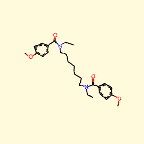 CCN(CCCCCCCN(CC)C(=O)c1ccc(OC)cc1)C(=O)c1ccc(OC)cc1